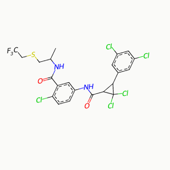 CC(CSCC(F)(F)F)NC(=O)c1cc(NC(=O)C2C(c3cc(Cl)cc(Cl)c3)C2(Cl)Cl)ccc1Cl